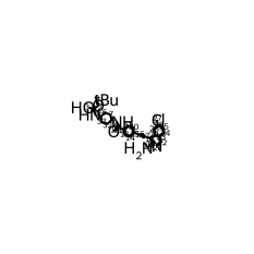 CC(C)(C)OC(O)N[C@H]1CC[C@H](NC(=O)c2ccc(C#Cc3c(N)ncc4ccc(Cl)cc34)cc2)CC1